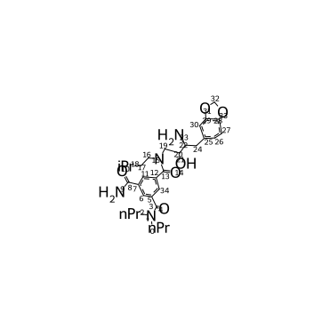 CCCN(CCC)C(=O)c1cc(C(N)=O)cc(C(=O)N(CCC(C)C)C[C@@H](O)[C@@H](N)Cc2ccc3c(c2)OCO3)c1